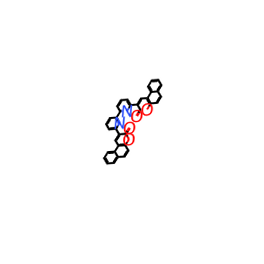 O=c1oc2ccc3ccccc3c2cc1-c1cccc(-c2cccc(-c3cc4c(ccc5ccccc54)oc3=O)n2)n1